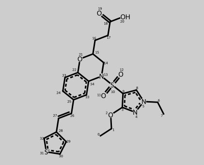 CCOc1nn(CC)cc1S(=O)(=O)N1CC(CCC(=O)O)Oc2ccc(C=Cc3ccsc3)cc21